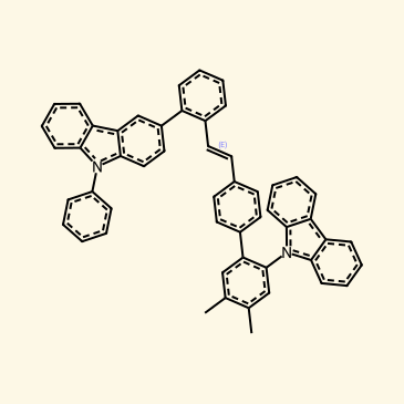 Cc1cc(-c2ccc(/C=C/c3ccccc3-c3ccc4c(c3)c3ccccc3n4-c3ccccc3)cc2)c(-n2c3ccccc3c3ccccc32)cc1C